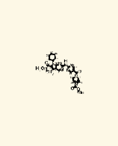 CN(C)C(=O)c1cc2cnc(Nc3ncc(C(=O)N4CC5CC4CN5C(=O)OC(C)(C)C)cn3)nc2n1C1CCCCC1